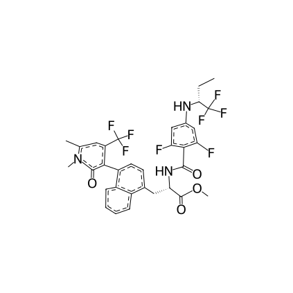 CC[C@@H](Nc1cc(F)c(C(=O)N[C@@H](Cc2ccc(-c3c(C(F)(F)F)cc(C)n(C)c3=O)c3ccccc23)C(=O)OC)c(F)c1)C(F)(F)F